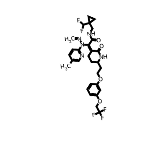 C=NN(/C(C(=O)NCC1(C(F)F)CC1)=C1\CCC(CCOc2cccc(OCC(F)(F)F)c2)NC1=O)c1ccc(C)cn1